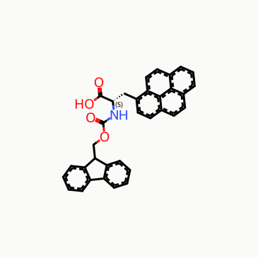 O=C(N[C@@H](Cc1ccc2ccc3cccc4ccc1c2c34)C(=O)O)OCC1c2ccccc2-c2ccccc21